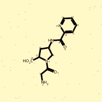 NCC(=O)N1CC(NC(=O)c2ccccn2)CC1C(=O)O